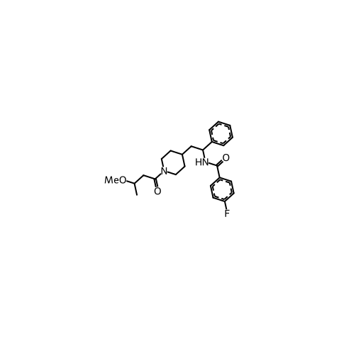 COC(C)CC(=O)N1CCC(CC(NC(=O)c2ccc(F)cc2)c2ccccc2)CC1